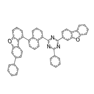 c1ccc(-c2ccc3c(c2)oc2cccc(-c4cccc5c(-c6nc(-c7ccccc7)nc(-c7ccc8c(c7)oc7ccccc78)n6)cccc45)c23)cc1